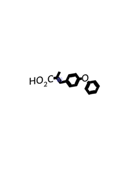 C/C(=C\c1ccc(Oc2ccccc2)cc1)C(=O)O